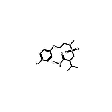 CC(C)C(CS(=O)(=O)N(C)CCOc1ccc(Cl)cc1)C(=O)NO